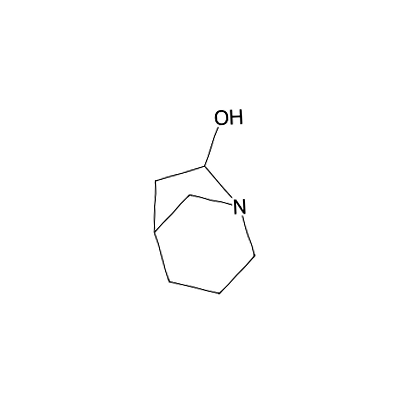 OC1CC2CCCN1C2